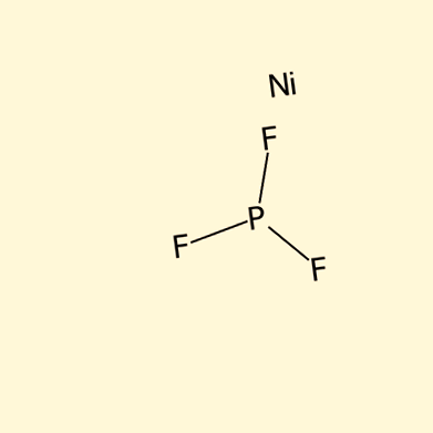 FP(F)F.[Ni]